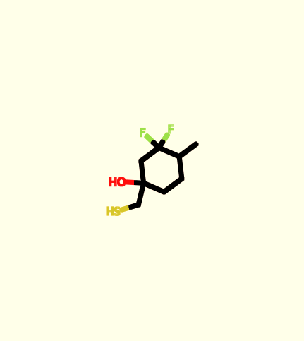 CC1CCC(O)(CS)CC1(F)F